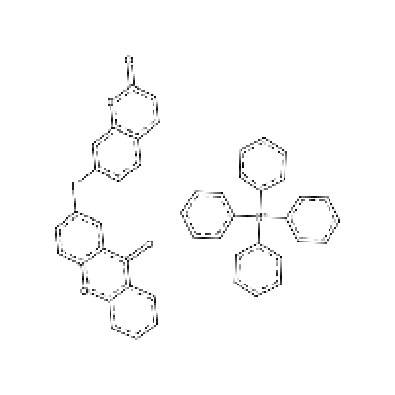 O=c1ccc2ccc([I+]c3ccc4oc5ccccc5c(=O)c4c3)cc2o1.c1ccc([B-](c2ccccc2)(c2ccccc2)c2ccccc2)cc1